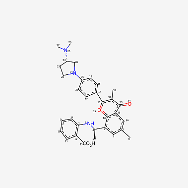 Cc1cc([C@@H](C)Nc2ccccc2C(=O)O)c2oc(-c3ccc(N4CC[C@H](N(C)C)C4)cc3)c(C)c(=O)c2c1